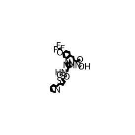 O=C(NO)C(Cc1ccc(OC(F)(F)F)cc1)n1cc(CNS(=O)(=O)c2ccc(-c3ccccn3)s2)nn1